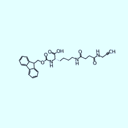 C#CCNC(=O)CCC(=O)NCCCC[C@H](NC(=O)OCC1c2ccccc2-c2ccccc21)C(=O)O